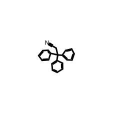 N#CCC(c1ccccc1)(c1ccccc1)c1ccccc1